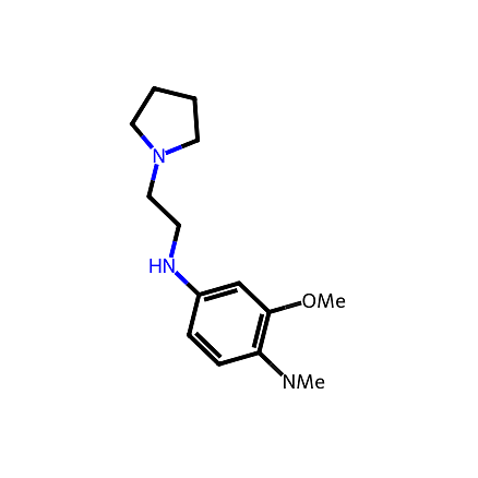 CNc1ccc(NCCN2CCCC2)cc1OC